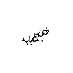 N#Cc1cc(C(=O)NC(=O)C2CC2)cc2nc(C(F)(F)F)c(CC3CCC(F)(F)CC3)n12